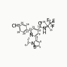 CC(C)n1bccc1-c1cc(C(=O)NC(C)(C)C(F)(F)F)cc(-c2ccc(Cl)cc2)n1